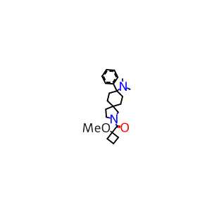 COC1(C(=O)N2CCC3(CCC(c4ccccc4)(N(C)C)CC3)C2)CCC1